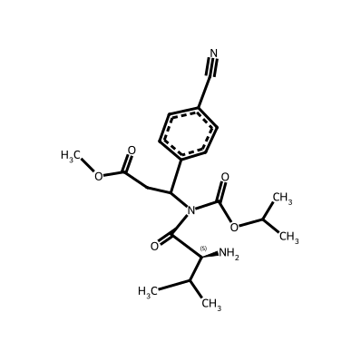 COC(=O)CC(c1ccc(C#N)cc1)N(C(=O)OC(C)C)C(=O)[C@@H](N)C(C)C